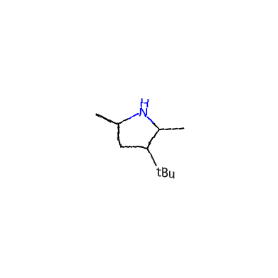 CC1CC(C(C)(C)C)C(C)N1